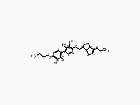 CCCCOc1ccc(-c2ccc(CCC3CCC4C(CCC)=CCC34)c(F)c2F)c(F)c1F